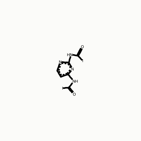 O=C(I)Nc1ccnc(NC(=O)I)n1